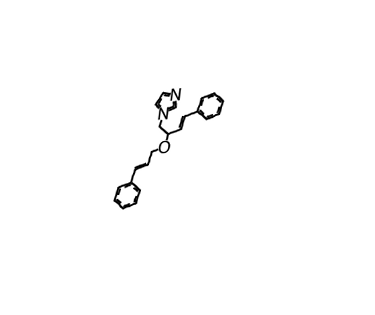 C(=C\c1ccccc1)/COC(/C=C/c1ccccc1)Cn1ccnc1